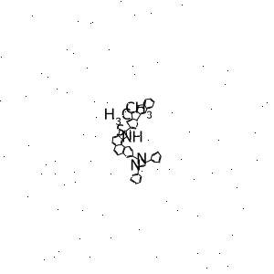 CC1(C)C2=CC(C3Nc4c(ccc5ccc6cc(-c7nc(-c8ccccc8)cc(-c8ccccc8)n7)ccc6c45)S3)=CCC2c2cc3ccccc3cc21